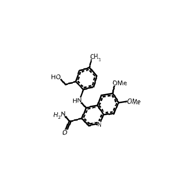 COc1cc2ncc(C(N)=O)c(Nc3ccc(C)cc3CO)c2cc1OC